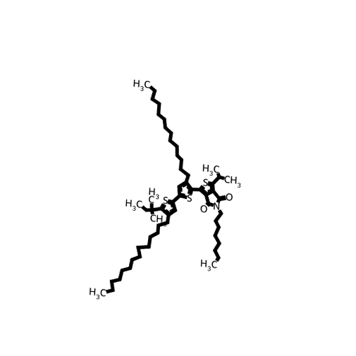 CCCCCCCCCCCCCCc1cc(-c2cc(CCCCCCCCCCCCCC)c(C(C)(C)CC)s2)sc1-c1sc(C(C)C)c2c1C(=O)N(CCCCCCCC)C2=O